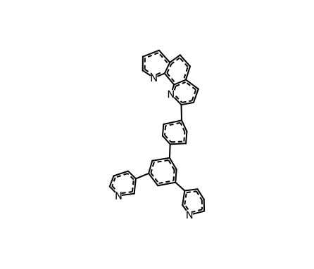 c1cncc(-c2cc(-c3ccc(-c4ccc5ccc6cccnc6c5n4)cc3)cc(-c3cccnc3)c2)c1